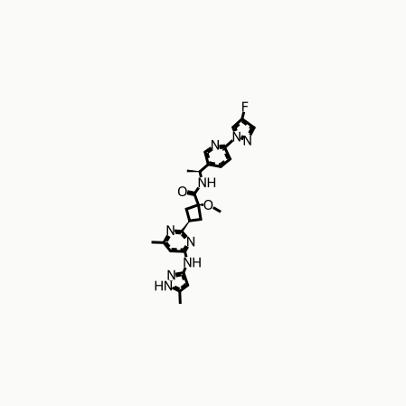 CO[C@]1(C(=O)N[C@@H](C)c2ccc(-n3cc(F)cn3)nc2)C[C@H](c2nc(C)cc(Nc3cc(C)[nH]n3)n2)C1